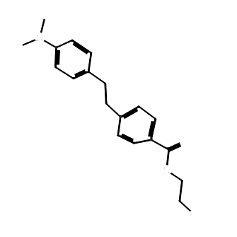 CCCCCCCCCCCCNC(=O)c1ccc([CH]Cc2ccc(N(C)C)cc2)cc1